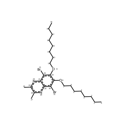 CCCCCCCCOc1c(OCCCCCCCC)c(Br)c2nc(C)c(C)nc2c1Br